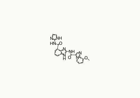 COc1cccn2c(C(=O)Nc3nc4c(C(=O)Nc5ncc[nH]5)cccc4[nH]3)cnc12